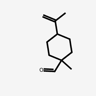 C=C(C)C1CCC(C)(C=O)CC1